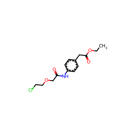 CCOC(=O)Cc1ccc(NC(=O)COCCCl)cc1